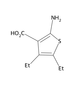 CCc1sc(N)c(C(=O)O)c1CC